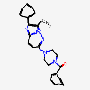 Cc1c(-c2ccccc2)nc2ccc(N3CCN(C(=O)c4ccccc4)CC3)nn12